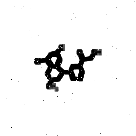 CN1Cc2c(Cl)cc(Cl)cc2C(c2cccc(C(=O)CO)c2)C1